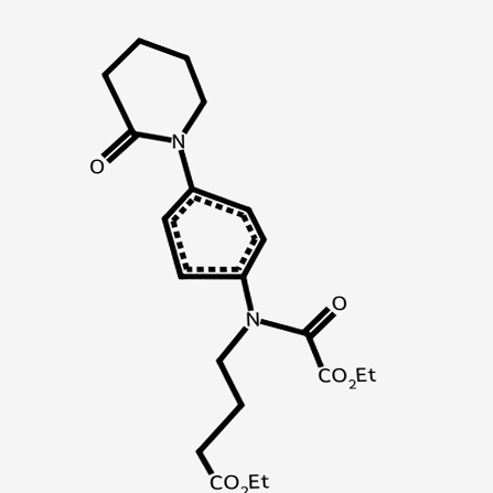 CCOC(=O)CCCN(C(=O)C(=O)OCC)c1ccc(N2CCCCC2=O)cc1